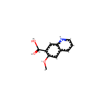 COc1cc2cccnc2cc1C(=O)O